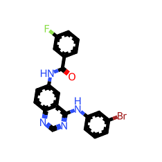 O=C(Nc1ccc2ncnc(Nc3cccc(Br)c3)c2c1)c1cccc(F)c1